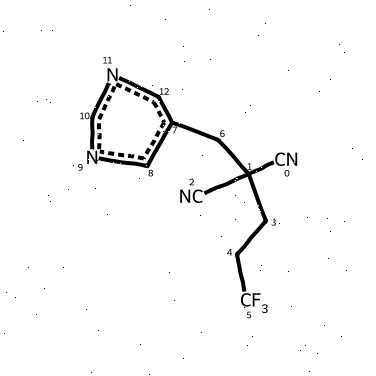 N#CC(C#N)(CCC(F)(F)F)Cc1cncnc1